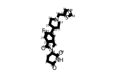 O=C1CCC(N2Cc3cc(C4CCN(Cc5cncs5)CC4)c(F)cc3C2=O)C(=O)N1